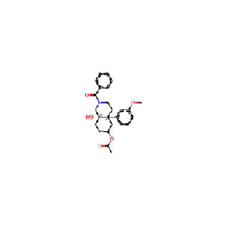 COc1cccc([C@]23CCN(C(=O)c4ccccc4)C[C@]2(O)CCC(OC(C)=O)C3)c1